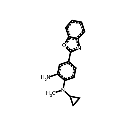 CN(c1ccc(-c2nc3ccccc3o2)cc1N)C1CC1